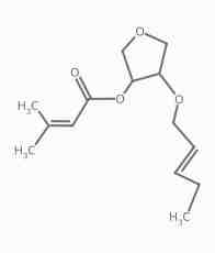 CCC=CCOC1COCC1OC(=O)C=C(C)C